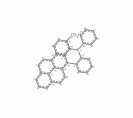 O=C(O)CCc1cc2ccc3cccc4ccc(c1-c1ccccc1P(c1ccccc1)c1ccccc1)c2c34